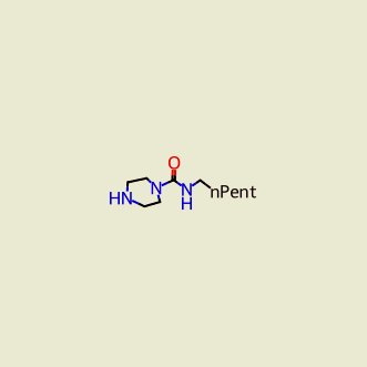 CCCCCCNC(=O)N1CCNCC1